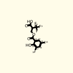 O=C(OCC(C(=O)O)C(F)(F)F)c1cc(I)cc(I)c1O